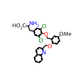 COc1ccc(OCc2ccc3ccccc3n2)c(COc2c(Cl)cc(CC(N)C(=O)O)cc2Cl)c1